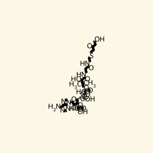 CC(C)(COP(=O)(O)OP(=O)(O)OC[C@H]1O[C@@H](n2cnc3c(N)ncnc32)[C@H](O)[C@@H]1OP(=O)(O)O)C(O)C(=O)NCCC(=O)NCCSCCC(=O)CCO